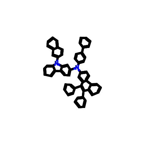 c1ccc(-c2ccc(N(c3ccc4c(c3)c(-c3ccccc3)c(-c3ccccc3)c3ccccc34)c3ccc4c5ccccc5n(-c5ccc6ccccc6c5)c4c3)cc2)cc1